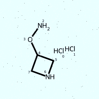 Cl.Cl.NOC1CNC1